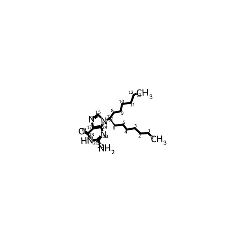 CCCCCCC[C@H](CCCCCC)n1cnc2c(=O)[nH]c(N)nc21